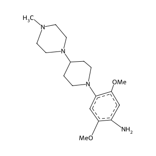 COc1cc(N2CCC(N3CCN(C)CC3)CC2)c(OC)cc1N